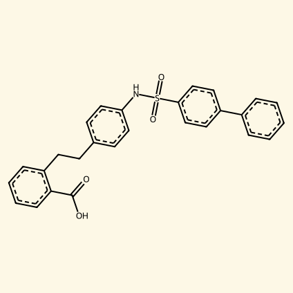 O=C(O)c1ccccc1CCc1ccc(NS(=O)(=O)c2ccc(-c3ccccc3)cc2)cc1